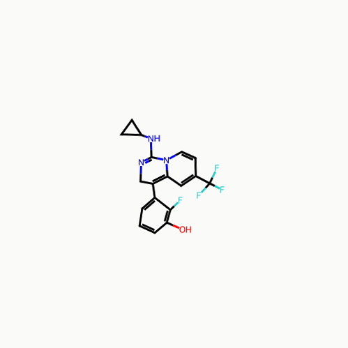 Oc1cccc(C2=C3C=C(C(F)(F)F)C=CN3C(NC3CC3)=NC2)c1F